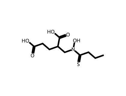 CCCC(=S)N(O)CC(CCC(=O)O)C(=O)O